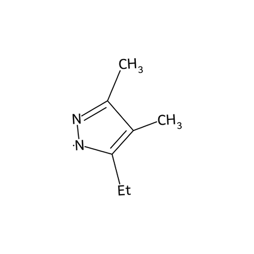 CCC1=C(C)C(C)=N[N]1